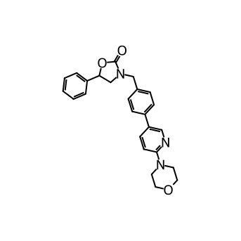 O=C1OC(c2ccccc2)CN1Cc1ccc(-c2ccc(N3CCOCC3)nc2)cc1